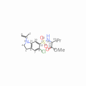 C=C(C)N1CCc2cc(Cl)c(S(=O)(=O)NC(C(=O)OC)C(C)C)cc21